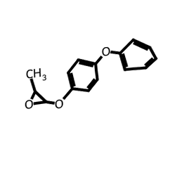 CC1OC1Oc1ccc(Oc2ccccc2)cc1